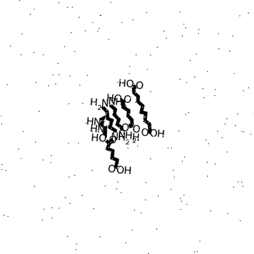 C1CN1.C1CN1.NCCCCCCN.NCCCCCCN.O=C(O)CCCCC(=O)O.O=C(O)CCCCC(=O)O.O=C(O)CCCCCCCCC(=O)O